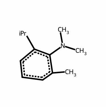 Cc1cccc(C(C)C)c1N(C)C